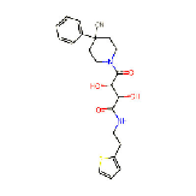 N#CC1(c2ccccc2)CCN(C(=O)[C@H](O)[C@@H](O)C(=O)NCCc2cccs2)CC1